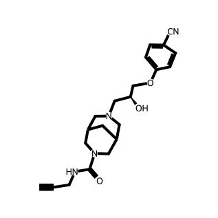 C#CCNC(=O)N1CC2CC(CN(C[C@H](O)COc3ccc(C#N)cc3)C2)C1